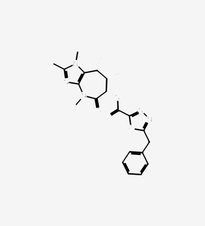 Cc1nc2c(n1C)[C@H](C)[C@H](C)[C@H](NC(=O)c1nnc(Cc3ccccc3)o1)C(=O)N2C